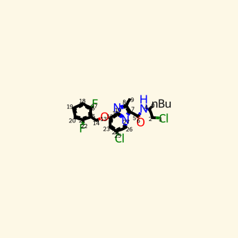 CCCCC(CCl)NC(=O)c1c(C)nc2c(OCc3c(F)cccc3F)cc(Cl)cn12